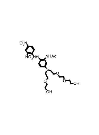 CC(=O)Nc1cc(N(CCOCCO)CCOCCOCCO)ccc1/N=N/c1ccc([N+](=O)[O-])cc1[N+](=O)[O-]